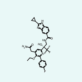 CCOc1c(CC(N)=O)cc([C@@](O)(CNC(=O)c2ccc3[nH]c(C4CC4)nc3c2)C(F)(F)F)nc1-c1ccc(F)cc1